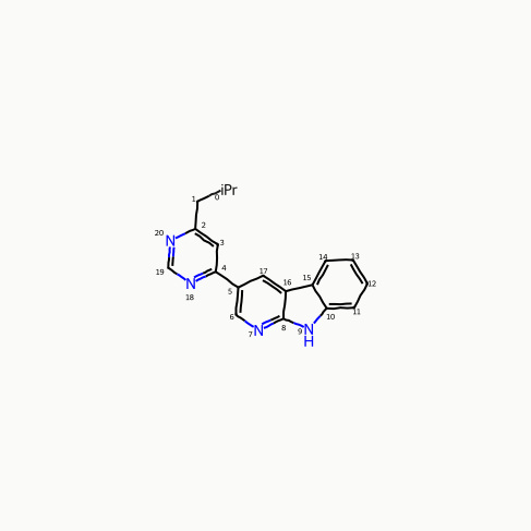 CC(C)Cc1cc(-c2cnc3[nH]c4ccccc4c3c2)ncn1